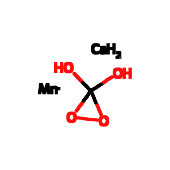 OC1(O)OO1.[CaH2].[Mn]